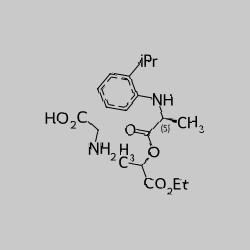 CCOC(=O)C(C)OC(=O)[C@H](C)Nc1ccccc1C(C)C.NCC(=O)O